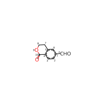 O=Cc1ccc2c(c1)CCOC2=O